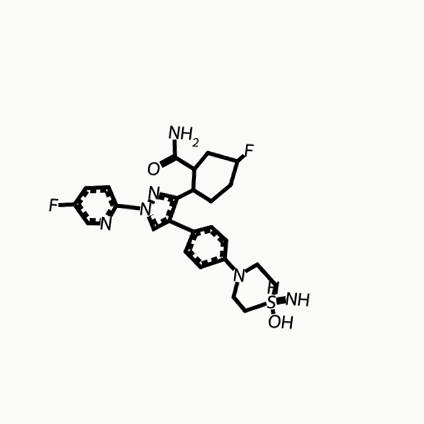 N=[SH]1(O)CCN(c2ccc(-c3cn(-c4ccc(F)cn4)nc3C3CCC(F)CC3C(N)=O)cc2)CC1